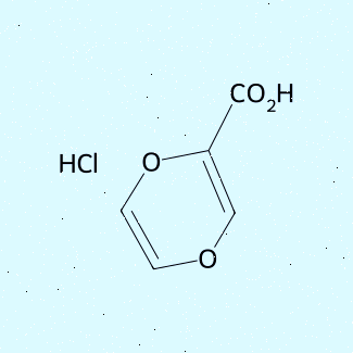 Cl.O=C(O)C1=COC=CO1